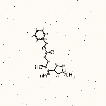 CCCC(C(O)CCC(=O)OCc1ccccc1)C1CCC(C)C1